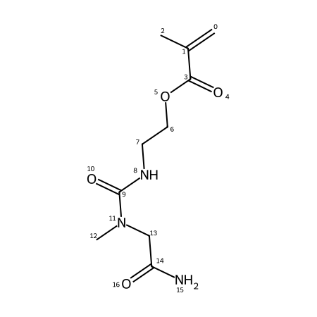 C=C(C)C(=O)OCCNC(=O)N(C)CC(N)=O